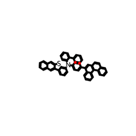 c1ccc(-c2ccccc2N(c2ccc(-c3cc4ccc5ccccc5c4c4ccccc34)cc2)c2cccc3c2sc2cc4ccccc4cc23)cc1